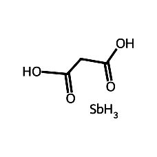 O=C(O)CC(=O)O.[SbH3]